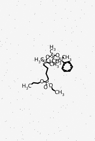 CCCOP(=O)(CCCC[Si](C)(C)O[Si](C)(C)O[Si](C)(C)c1ccccc1)OCC